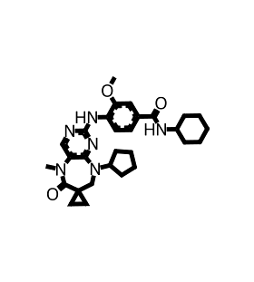 COc1cc(C(=O)NC2CCCCC2)ccc1Nc1ncc2c(n1)N(C1CCCC1)CC1(CC1)C(=O)N2C